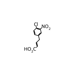 O=C(O)C=CCc1ccc(Cl)c([N+](=O)[O-])c1